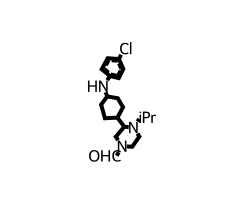 CC(C)N1CCN(C=O)CC1C1CCC(Nc2ccc(Cl)cc2)CC1